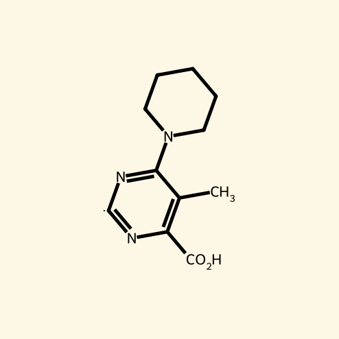 Cc1c(C(=O)O)n[c]nc1N1CCCCC1